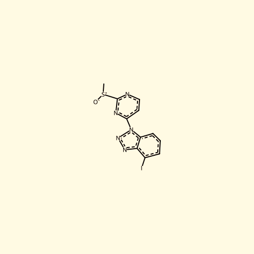 C[S+]([O-])c1nccc(-n2nnc3c(I)cccc32)n1